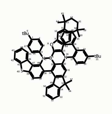 CC(C)(C)c1ccc(N2B3c4oc5cc6c(cc5c4N(c4ccc(C(C)(C)C)cc4-c4ccccc4)c4cc5c(c(c43)-c3ccc4sc7ccccc7c4c32)-c2ccccc2C5(C)C)C(C)(C)CCC6(C)C)cc1